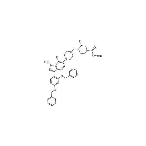 Cn1nc(-c2ccc(OCc3ccccc3)nc2OCc2ccccc2)c2ccc(N3CCN(C[C@H]4CCN(C(=O)OC(C)(C)C)C[C@H]4F)CC3)c(F)c21